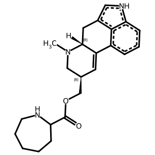 CN1C[C@H](COC(=O)C2CCCCCN2)C=C2c3cccc4[nH]cc(c34)C[C@H]21